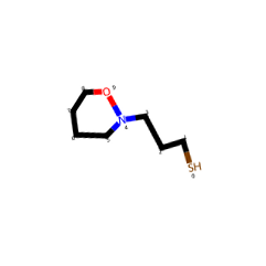 SCCCN1CCCCO1